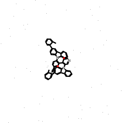 Cc1ccccc1-c1ccc2c(c1)c1ccccc1n2-c1ccc(C#N)cc1-c1ccncc1-n1c2ccccc2c2cc(-c3ccccc3C)ccc21